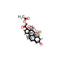 CC(=O)OCC(=O)[C@@]1(O)CC[C@H]2[C@@H]3CCC4=CC(=O)CC(F)[C@]4(C)[C@H]3[C@@H](O)C[C@@]21C